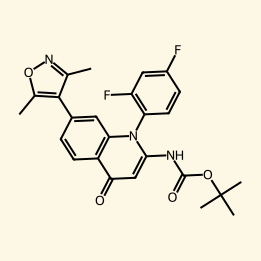 Cc1noc(C)c1-c1ccc2c(=O)cc(NC(=O)OC(C)(C)C)n(-c3ccc(F)cc3F)c2c1